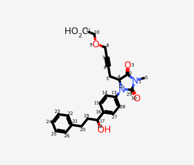 CN1C(=O)C(CC#CCOCC(=O)O)N(c2ccc(C(O)CCc3ccccc3)cc2)C1=O